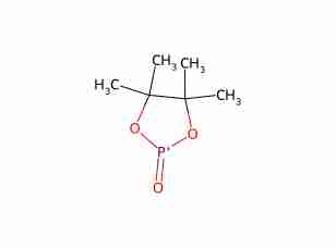 CC1(C)O[P+](=O)OC1(C)C